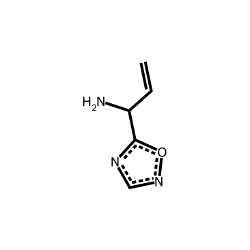 C=CC(N)c1ncno1